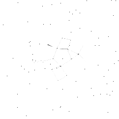 CNC1C2(CCC2)[C@@H]2C(C)(C)C23CC[C@@]13C